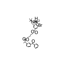 CC(C(=O)OCCCCOC(=O)c1cc(Br)c(N)c(CNC(C)(C)C)c1)c1cccc(C(=O)c2ccccc2)c1